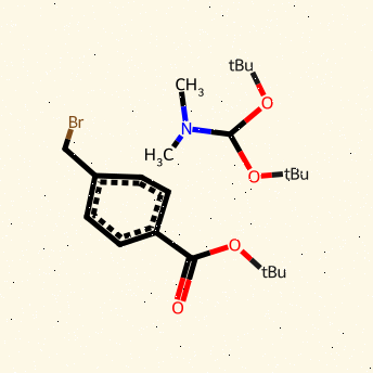 CC(C)(C)OC(=O)c1ccc(CBr)cc1.CN(C)C(OC(C)(C)C)OC(C)(C)C